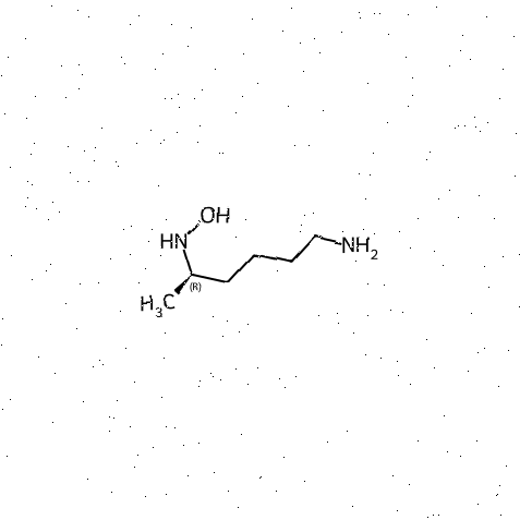 C[C@H](CCCCN)NO